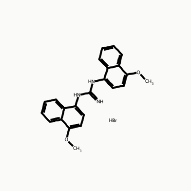 Br.COc1ccc(NC(=N)Nc2ccc(OC)c3ccccc23)c2ccccc12